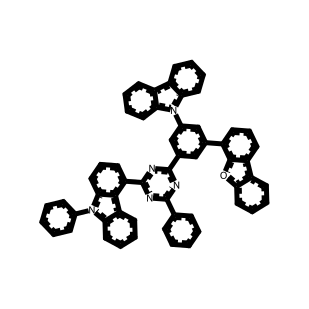 c1ccc(-c2nc(-c3cc(-c4cccc5c4oc4ccccc45)cc(-n4c5ccccc5c5ccccc54)c3)nc(-c3cccc4c3c3ccccc3n4-c3ccccc3)n2)cc1